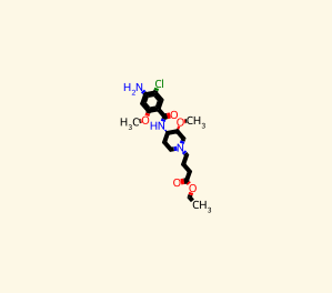 CCOC(=O)CCCN1CC[C@H](NC(=O)c2cc(Cl)c(N)cc2OC)[C@@H](OC)C1